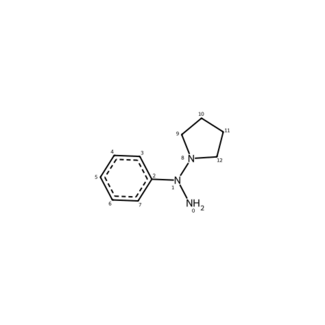 NN(c1ccccc1)N1CCCC1